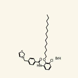 Br.CCCCCCCCCCCCCCOc1c(Cl)cccc1NC(=O)c1ccc(CN2C=CSC2)cc1